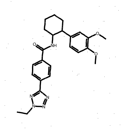 CCn1nnc(-c2ccc(C(=O)NC3CCCCC3c3ccc(OC)c(OC)c3)cc2)n1